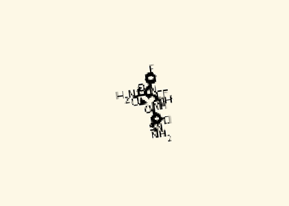 NC(=O)[C@@]1(C2CC2)COc2c1cc([C@@](O)(CNC(=O)c1cc(Cl)c3nc(N)sc3c1)C(F)(F)F)nc2-c1ccc(F)cc1